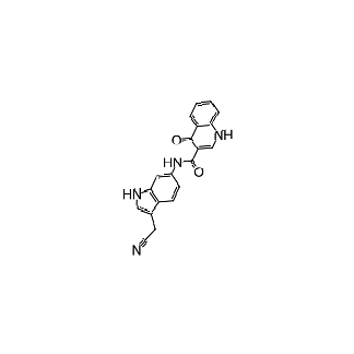 N#CCc1c[nH]c2cc(NC(=O)c3c[nH]c4ccccc4c3=O)ccc12